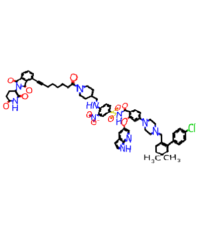 CC1(C)CCC(CN2CCN(c3ccc(C(=O)NS(=O)(=O)c4ccc(NCC5CCN(C(=O)CCCCCC#Cc6cccc7c6C(=O)N(C6CCC(=O)NC6=O)C7=O)CC5)c([N+](=O)[O-])c4)c(Oc4cnc5[nH]ccc5c4)c3)CC2)=C(c2ccc(Cl)cc2)C1